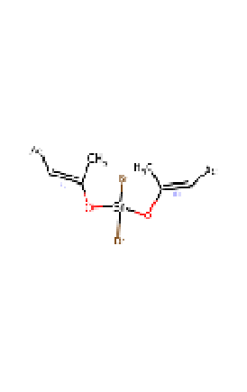 CC(=O)/C=C(\C)[O][Sn]([Br])([Br])[O]/C(C)=C/C(C)=O